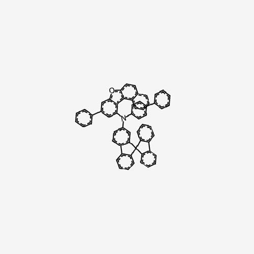 c1ccc(-c2ccc(N(c3ccc4c(c3)C3(c5ccccc5-c5ccccc53)c3ccccc3-4)c3cc(-c4ccccc4)cc4oc5ccc6ccccc6c5c34)cc2)cc1